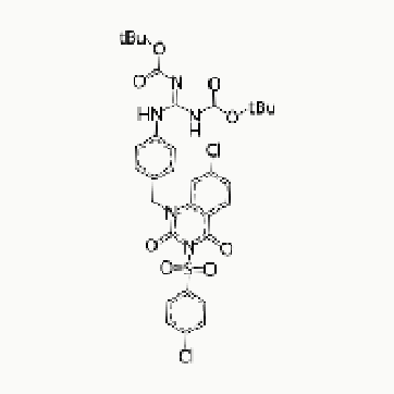 CC(C)(C)OC(=O)/N=C(/NC(=O)OC(C)(C)C)Nc1ccc(Cn2c(=O)n(S(=O)(=O)c3ccc(Cl)cc3)c(=O)c3ccc(Cl)cc32)cc1